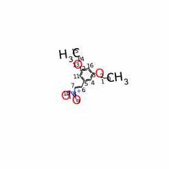 CCOc1cc(/C=C/[N+](=O)[O-])cc(OCC)c1